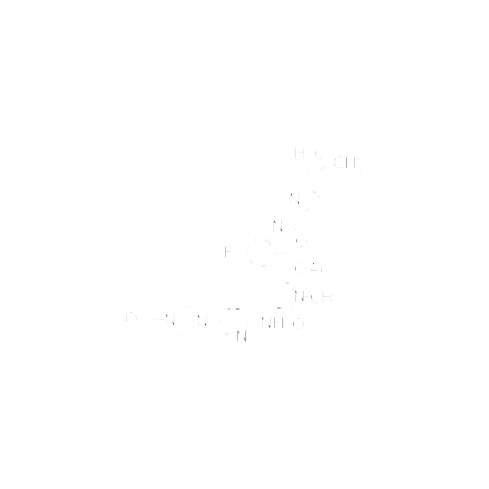 CC(=O)OCc1c(-c2cc(Nc3ccc(N4CCN(C5COC5)CC4)cn3)c(=O)n(C)c2)cc(F)cc1N1CCn2c(cc3c2CC(C)(C)C3)C1=O